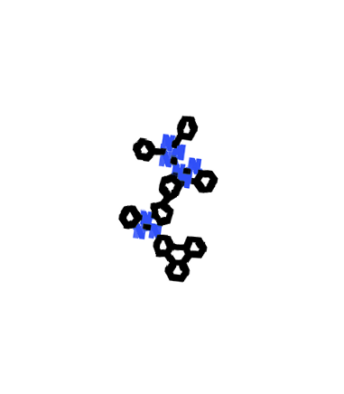 c1ccc(-c2nc(-c3ccccc3)nc(-n3c4ccc(-c5ccc6c(c5)n5c7ccccc7nc5n6-c5ccc6c7ccccc7c7ccccc7c6c5)cc4n4c5ccccc5nc34)n2)cc1